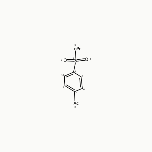 CCCS(=O)(=O)c1ccc(C(C)=O)cc1